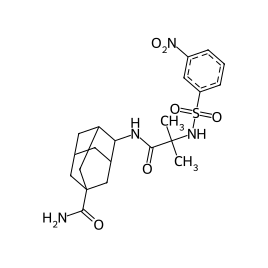 CC(C)(NS(=O)(=O)c1cccc([N+](=O)[O-])c1)C(=O)NC1C2CC3CC1CC(C(N)=O)(C3)C2